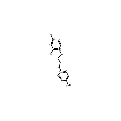 CCCCc1ccc(CCCC[n+]2ccc(C)cc2C)cc1